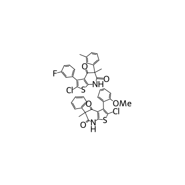 COc1ccccc1-c1c(Cl)sc2c1C(=O)C(C)(c1ccccc1)C(=O)N2.Cc1cccc(C2(C)C(=O)Nc3sc(Cl)c(-c4cccc(F)c4)c3C2=O)c1